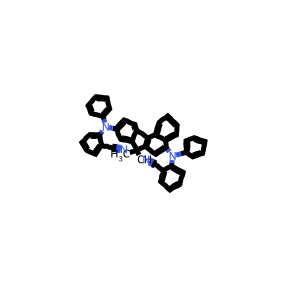 CC1(C)c2cc(N(c3ccccc3)c3ccccc3C#N)ccc2-c2c1cc(N(c1ccccc1)c1ccccc1C#N)c1ccccc21